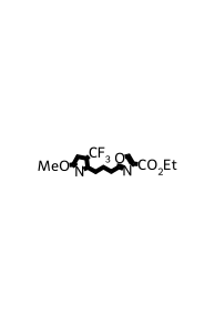 CCOC(=O)c1coc(CCCC2N=C(OC)CC2C(F)(F)F)n1